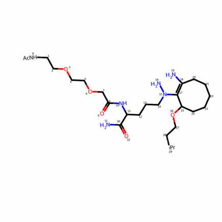 CC(=O)NCCOCCOCC(=O)NC(CCCN(N)/C1=C(\N)CCCCCC1OCCC(C)C)C(N)=O